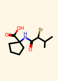 CC(C)C(Br)C(=O)NC1(C(=O)O)CCCC1